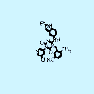 CCn1cc2cc(Nc3nc(=O)n(-c4cncc(Cl)c4)c(=O)n3Cc3cc(C#N)ccc3C)ccc2n1